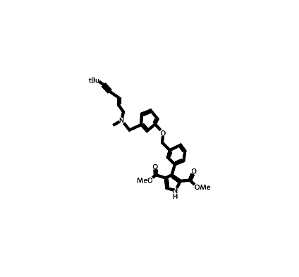 COC(=O)c1c[nH]c(C(=O)OC)c1-c1cccc(COc2cccc(CN(C)CC=CC#CC(C)(C)C)c2)c1